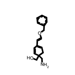 NCC1(CO)C=CC(C=COCc2ccccc2)=CC1